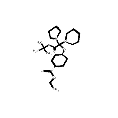 CCOC(=O)[C@H]1CC[C@H](OC(C(=O)OC(C)(C)C)(N2CCCCC2)N2CCCC2)CC1